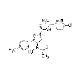 CC(=O)N(C)[C@@H]1CN(C(=O)N[C@H](C)c2ccc(Cl)nc2)N=C1c1ccc(C)cc1